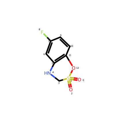 O=S1(=O)CNc2cc(F)ccc2O1